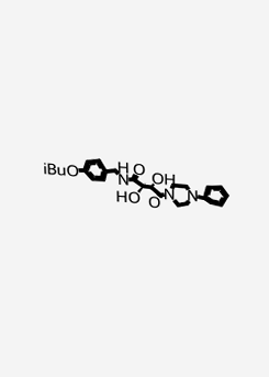 CC(C)COc1ccc(CNC(=O)[C@H](O)[C@@H](O)C(=O)N2CCN(c3ccccc3)CC2)cc1